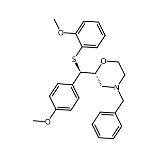 COc1ccc([C@@H](Sc2ccccc2OC)[C@H]2CN(Cc3ccccc3)CCO2)cc1